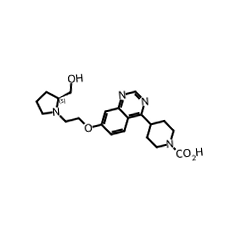 O=C(O)N1CCC(c2ncnc3cc(OCCN4CCC[C@H]4CO)ccc23)CC1